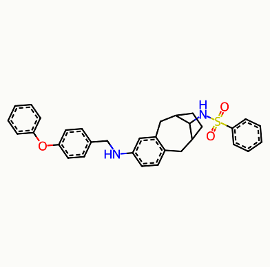 O=S(=O)(NC1C2CCC1Cc1cc(NCc3ccc(Oc4ccccc4)cc3)ccc1C2)c1ccccc1